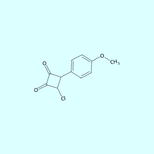 COc1ccc(C2C(=O)C(=O)C2Cl)cc1